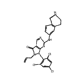 C=CCn1c(=O)c2cnc(Nc3ccc4c(c3)CCNC4)nc2n1-c1c(Cl)cc(Cl)cc1Cl